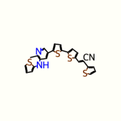 Cc1ncc(-c2ccc(-c3ccc(/C=C(\C#N)c4cccs4)s3)s2)cc1Nc1cccs1